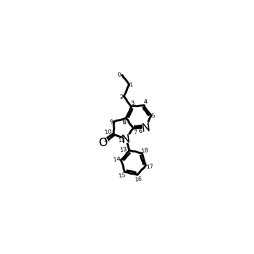 CCCc1ccnc2c1CC(=O)N2c1ccccc1